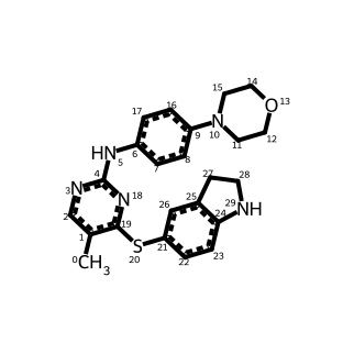 Cc1cnc(Nc2ccc(N3CCOCC3)cc2)nc1Sc1ccc2c(c1)CCN2